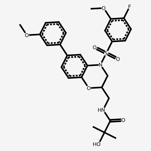 COc1cccc(-c2ccc3c(c2)N(S(=O)(=O)c2ccc(F)c(OC)c2)CC(CNC(=O)C(C)(C)O)O3)c1